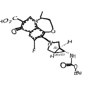 CC1COc2c(N3C[C@@H]4[C@H](C3)[C@H]4NC(=O)OC(C)(C)C)c(F)cc3c(=O)c(C(=O)O)cn1c23